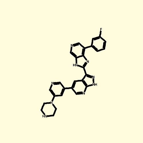 Fc1cccc(-c2cncc3[nH]c(-c4n[nH]c5ncc(-c6cncc(N7CCNCC7)c6)cc45)nc23)c1